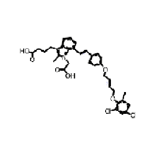 Cc1cc(Cl)cc(Cl)c1OC/C=C/COc1ccc(/C=C/c2cccc3c(CCCC(=O)O)c(C)n(CC(=O)O)c23)cc1